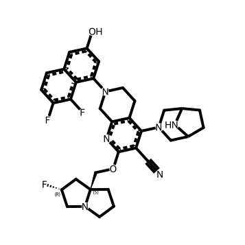 N#Cc1c(OC[C@@]23CCCN2C[C@H](F)C3)nc2c(c1N1CC3CCC(C1)N3)CCN(c1cc(O)cc3ccc(F)c(F)c13)C2